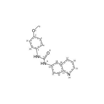 COc1ccc(NC(=O)Nc2ccc3ncccc3c2)cc1